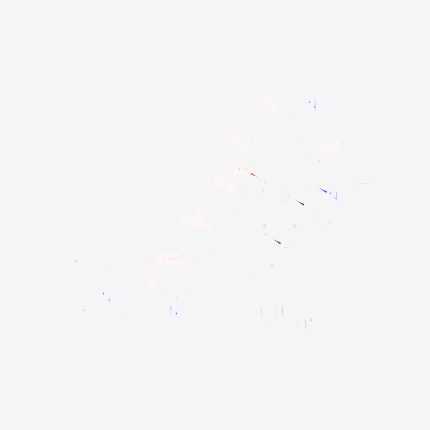 CN(C)[C@@H]1C(=O)C(C(N)=O)=C(O)[C@@]2(O)C(=O)C3=C(O)c4c(O)c(NC(=O)CN5CCCC5)cc(F)c4C[C@H]3C[C@@H]12.Cl.Cl